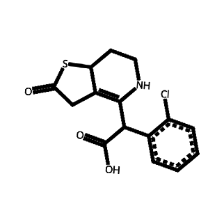 O=C1CC2=C(C(C(=O)O)c3ccccc3Cl)NCCC2S1